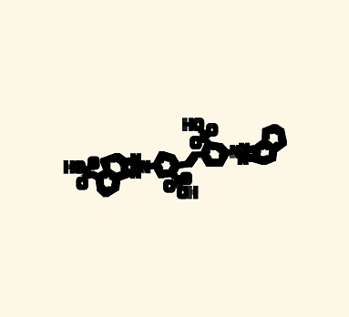 O=S(=O)(O)c1cc(-n2n3c4ccc5ccccc5c4n23)ccc1C=Cc1ccc(-n2n3c4ccc5c(S(=O)(=O)O)cccc5c4n23)cc1S(=O)(=O)O